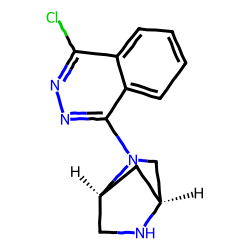 Clc1nnc(N2C[C@@H]3C[C@H]2CN3)c2ccccc12